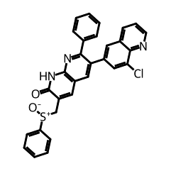 O=c1[nH]c2nc(-c3ccccc3)c(-c3cc(Cl)c4ncccc4c3)cc2cc1C[S+]([O-])c1ccccc1